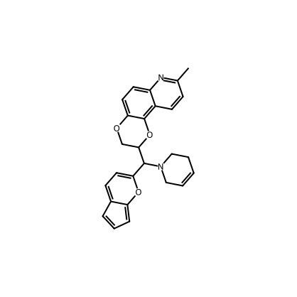 Cc1ccc2c3c(ccc2n1)OCC(C(c1ccc2cccc-2o1)N1CC=CCC1)O3